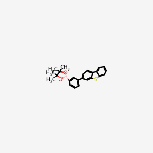 CC1(C)OB(c2cccc(-c3ccc4c(c3)sc3ccccc34)c2)OC1(C)C